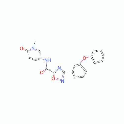 Cn1cc(NC(=O)c2nc(-c3cccc(Oc4ccccc4)c3)no2)ccc1=O